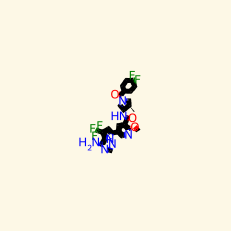 COc1ncc(-c2cc(C(F)(F)F)c3c(N)ncnn23)cc1C(=O)N[C@@H]1CN(C(=O)C2CCC(F)(F)CC2)C[C@@H]1C